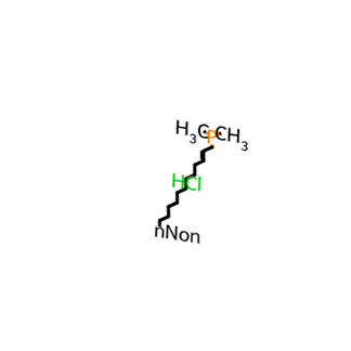 CCCCCCCCCCCCCCCCCCC=CCP(C)C.Cl